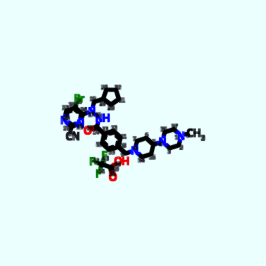 CN1CCN(C2CCN(Cc3ccc(C(=O)NN(CC4CCCC4)c4nc(C#N)ncc4Br)cc3)CC2)CC1.O=C(O)C(F)(F)F